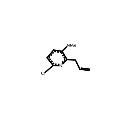 C=CCc1nc(Cl)ccc1NC